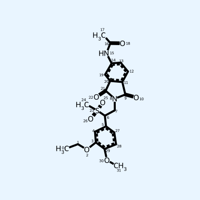 CCOc1cc(C(CN2C(=O)c3ccc(NC(C)=O)cc3C2=O)S(C)(=O)=O)ccc1OC